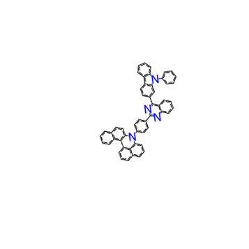 c1ccc(-n2c3ccccc3c3ccc(-c4nc(-c5ccc(N6c7ccc8ccccc8c7-c7cccc8cccc6c78)cc5)nc5ccccc45)cc32)cc1